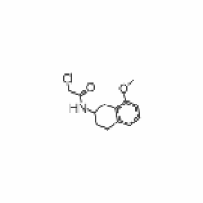 COc1cccc2c1CC(NC(=O)CCl)CC2